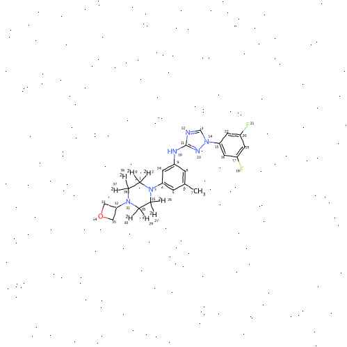 [2H]C1([2H])N(c2cc(C)cc(Nc3ncn(-c4cc(F)cc(F)c4)n3)c2)C([2H])([2H])C([2H])([2H])N(C2COC2)C1([2H])[2H]